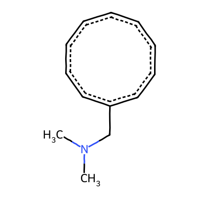 CN(C)Cc1ccccccccc1